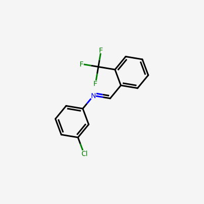 FC(F)(F)c1ccccc1C=Nc1cccc(Cl)c1